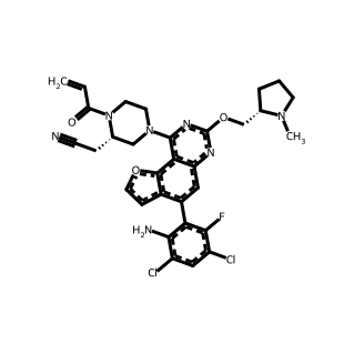 C=CC(=O)N1CCN(c2nc(OC[C@@H]3CCCN3C)nc3cc(-c4c(N)c(Cl)cc(Cl)c4F)c4ccoc4c23)C[C@@H]1CC#N